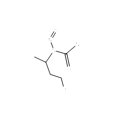 CC(CC[O])N(N=O)C(N)=O